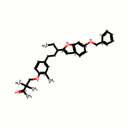 CCC(CCc1ccc(OCC(C)(C)C(C)=O)c(C)c1)c1cc2ccc(OCc3ccccc3)cc2o1